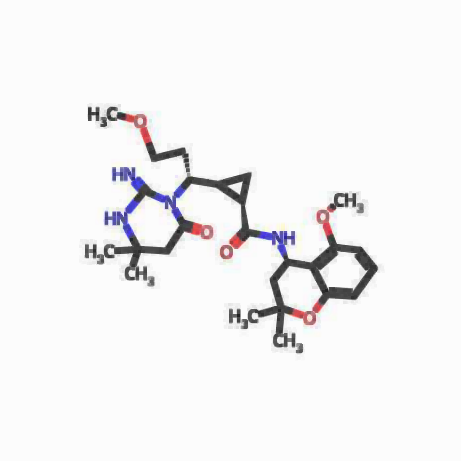 COCC[C@H](C1C[C@H]1C(=O)N[C@@H]1CC(C)(C)Oc2cccc(OC)c21)N1C(=N)NC(C)(C)CC1=O